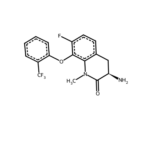 CN1C(=O)[C@H](N)Cc2ccc(F)c(Oc3ccccc3C(F)(F)F)c21